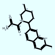 Cc1ccc2ccc(C3CCC(C)CN3C(=O)C(N)=O)cc2n1